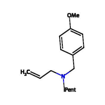 C=CCN(Cc1ccc(OC)cc1)C(C)CCC